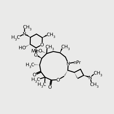 CCCN1C[C@H](C)C[C@@](C)(OC)[C@H](O[C@@H]2O[C@H](C)C[C@H](N(C)C)[C@H]2O)[C@@H](C)C(=O)C(C)(C)C(=O)OC[C@H]1[C@H]1C[C@H](N(C)C)C1